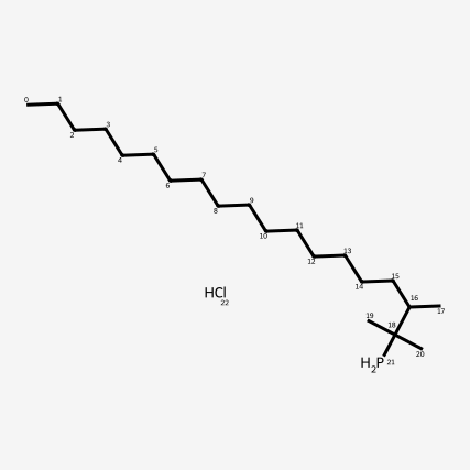 CCCCCCCCCCCCCCCCC(C)C(C)(C)P.Cl